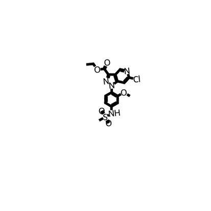 CCOC(=O)c1nn(-c2ccc(NS(C)(=O)=O)cc2OC)c2cc(Cl)ncc12